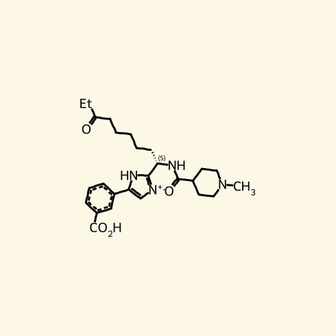 CCC(=O)CCCCC[C@H](NC(=O)C1CCN(C)CC1)C1=[N+]C=C(c2cccc(C(=O)O)c2)N1